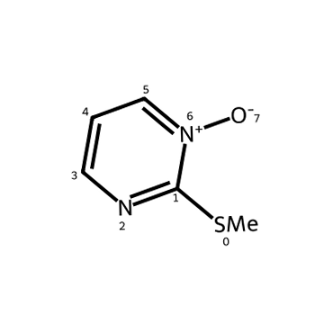 CSc1nccc[n+]1[O-]